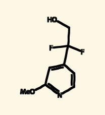 COc1cc(C(F)(F)CO)ccn1